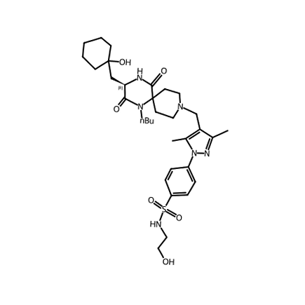 CCCCN1C(=O)[C@@H](CC2(O)CCCCC2)NC(=O)C12CCN(Cc1c(C)nn(-c3ccc(S(=O)(=O)NCCO)cc3)c1C)CC2